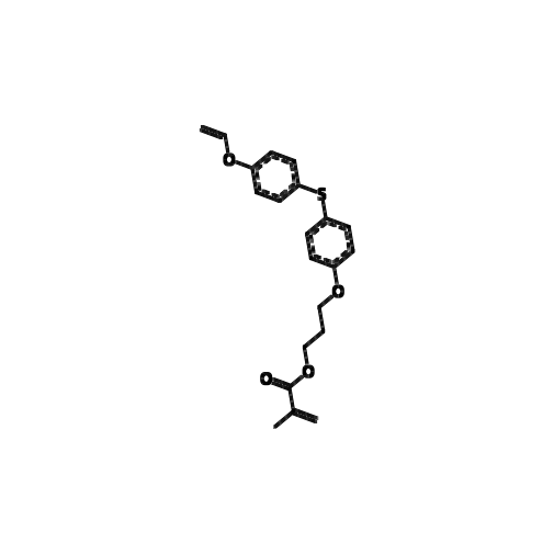 C=COc1ccc(Sc2ccc(OCCCOC(=O)C(=C)C)cc2)cc1